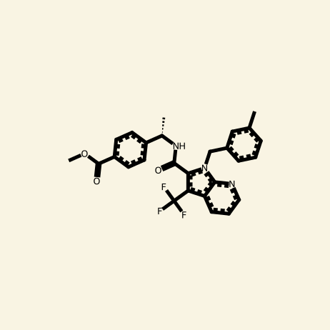 COC(=O)c1ccc([C@H](C)NC(=O)c2c(C(F)(F)F)c3cccnc3n2Cc2cccc(C)c2)cc1